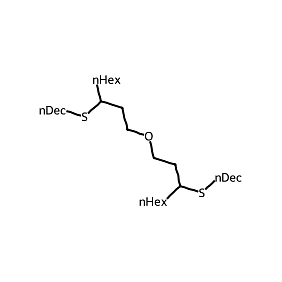 CCCCCCCCCCSC(CCCCCC)CCOCCC(CCCCCC)SCCCCCCCCCC